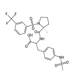 C[C@@]1(C(=O)NC(Cc2ccc(NS(C)(=O)=O)cc2)C(=O)O)CCCN1S(=O)(=O)c1cccc(C(F)(F)F)c1